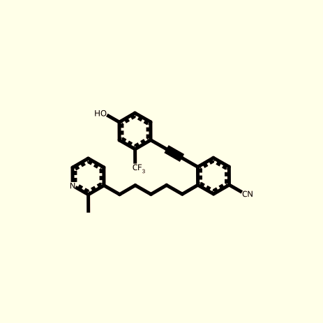 Cc1ncccc1CCCCCc1cc(C#N)ccc1C#Cc1ccc(O)cc1C(F)(F)F